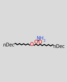 CCCCCCCCCCCCCCCCCCOCC(CCCCCCCCCCCCCCCCCC)OC(N)=O